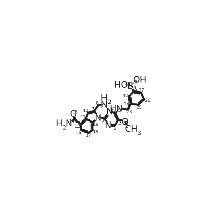 COc1cnc(-n2c(CN)cc3c(C(N)=O)cccc32)nc1NCc1cccc(B(O)O)c1